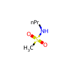 C[CH]CNS(C)(=O)=O